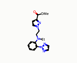 CCN(CCn1ccc(C(=O)OC)n1)c1ccccc1-n1nccn1